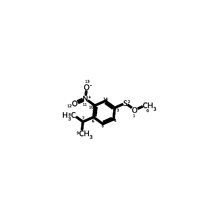 COSc1ccc(C(C)C)c([N+](=O)[O-])c1